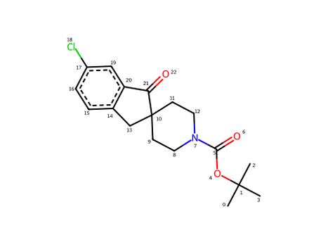 CC(C)(C)OC(=O)N1CCC2(CC1)Cc1ccc(Cl)cc1C2=O